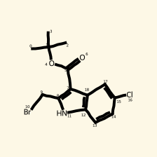 CC(C)(C)OC(=O)c1c(CBr)[nH]c2ccc(Cl)cc12